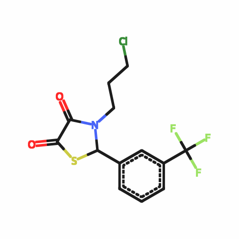 O=C1SC(c2cccc(C(F)(F)F)c2)N(CCCCl)C1=O